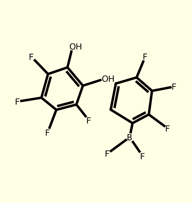 FB(F)c1ccc(F)c(F)c1F.Oc1c(O)c(F)c(F)c(F)c1F